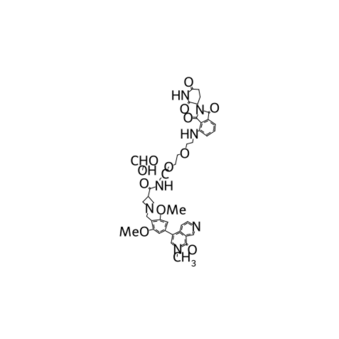 COc1cc(-c2cn(C)c(=O)c3cnccc23)cc(OC)c1CN1CC(C(=O)NCCOCCOCCNc2cccc3c2C(=O)N(C2CCC(=O)NC2=O)C3=O)C1.O=CO